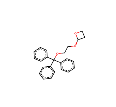 c1ccc(C(OCCO[C@@H]2CCO2)(c2ccccc2)c2ccccc2)cc1